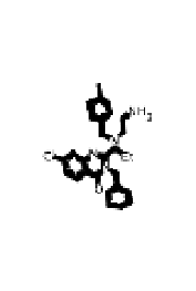 CCC(c1nc2cc(Cl)ccc2c(=O)n1Cc1ccccc1)N(CCN)Cc1ccc(C)cc1